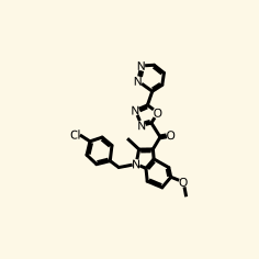 COc1ccc2c(c1)c(C(=O)c1nnc(-c3cccnn3)o1)c(C)n2Cc1ccc(Cl)cc1